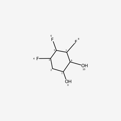 OC1CC(F)C(F)C(F)C1O